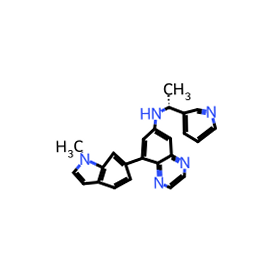 C[C@@H](Nc1cc(-c2ccc3ccn(C)c3c2)c2nccnc2c1)c1cccnc1